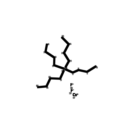 CCCC[N+](CCCC)(CCCC)CCCC.[Cs+].[F-].[F-]